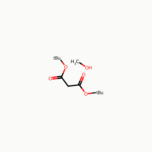 CC(C)(C)OC(=O)CC(=O)OC(C)(C)C.CO